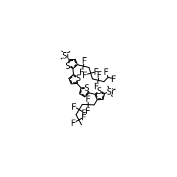 CC(F)(F)CC(F)(F)CC(F)(F)Cc1cc([Si](C)(C)C)sc1-c1ccc(-c2ccc(-c3sc([Si](C)(C)C)cc3C(F)(F)CC(F)(F)CC(F)(F)CC(F)F)s2)s1